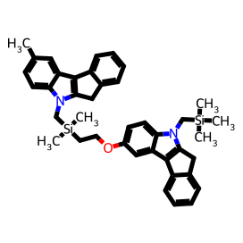 Cc1ccc2c(c1)c1c(n2C[Si](C)(C)CCOc2ccc3c(c2)c2c(n3C[Si](C)(C)C)Cc3ccccc3-2)Cc2ccccc2-1